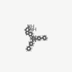 N=C1C=Cc2ccc3cc(-c4nc(-c5ccc(-c6ccccc6)cc5)nc(-c5ccc(-c6ccccc6)cc5)n4)ccc3c2C1=N